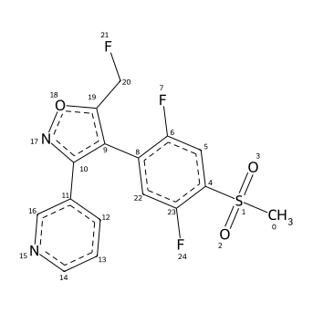 CS(=O)(=O)c1cc(F)c(-c2c(-c3cccnc3)noc2CF)cc1F